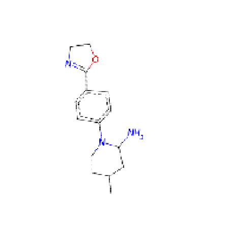 CC1CCN(c2ccc(C3=NCCO3)cc2)C(N)C1